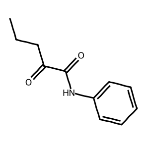 CCCC(=O)C(=O)Nc1ccccc1